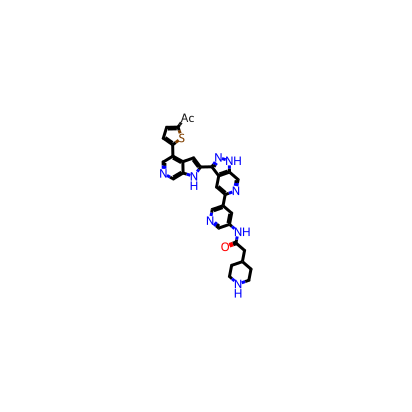 CC(=O)c1ccc(-c2cncc3[nH]c(-c4n[nH]c5cnc(-c6cncc(NC(=O)CC7CCNCC7)c6)cc45)cc23)s1